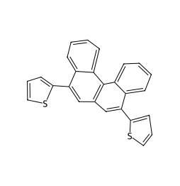 c1csc(-c2cc3cc(-c4cccs4)c4ccccc4c3c3ccccc23)c1